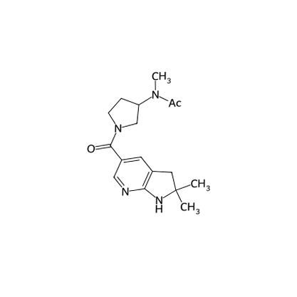 CC(=O)N(C)C1CCN(C(=O)c2cnc3c(c2)CC(C)(C)N3)C1